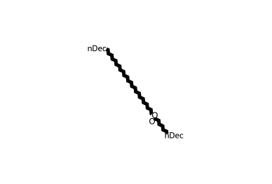 CCCCCCCCCCCCCCCCCCCCCCCCCCCCCCCCCCOC(=O)CCCCCCCCCCCCCCC